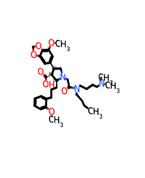 CCCCN(CCCCN(C)C)C(=O)CN1C[C@H](c2cc(OC)c3c(c2)OCO3)[C@@H](C(=O)O)[C@@H]1CCCc1ccccc1OC